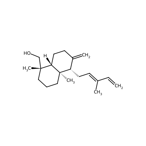 C=C/C(C)=C/C[C@H]1C(=C)CC[C@H]2[C@@](C)(CO)CCC[C@]12C